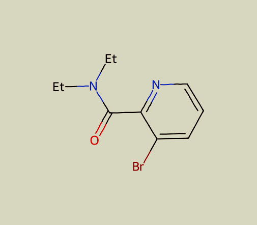 CCN(CC)C(=O)c1ncccc1Br